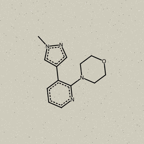 Cn1cc(-c2cccnc2N2CCOCC2)cn1